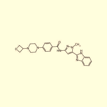 Cn1nc(NC(=O)c2ccc(N3CCN(C4COC4)CC3)cc2)cc1-c1nc2ccccc2[nH]1